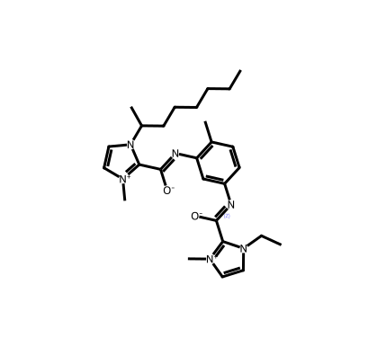 CCCCCCC(C)n1cc[n+](C)c1C([O-])=Nc1cc(/N=C(\[O-])c2n(CC)cc[n+]2C)ccc1C